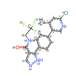 Cc1cc(Cl)ncc1-c1ccc2c3[nH]ncc3c(=O)n(CC(F)(F)F)c2c1